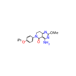 COc1nc(N)c2c(n1)CCN(c1ccc(OC(C)C)cc1)C2=O